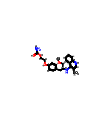 CCOC[C@H](Cc1ccc(OCCOC(N)=O)cc1)Nc1c([N+](=O)[O-])cnc2ccccc12